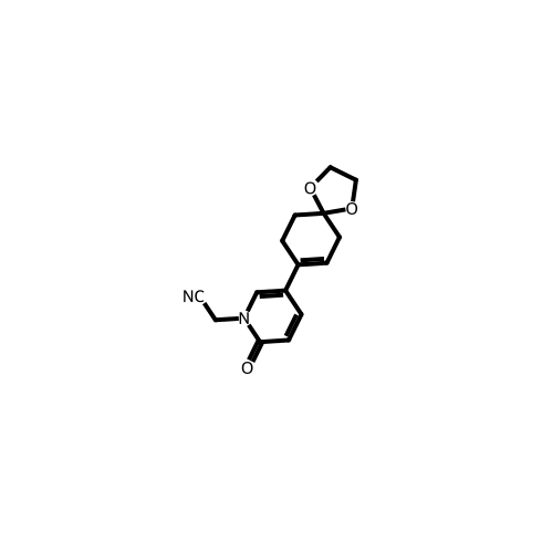 N#CCn1cc(C2=CCC3(CC2)OCCO3)ccc1=O